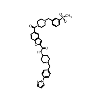 CS(=O)(=O)c1cccc(CN2CCN(C(=O)c3ccc4oc(C(=O)NC5CCN(Cc6ccc(-n7cccn7)cc6)CC5)cc4c3)CC2)c1